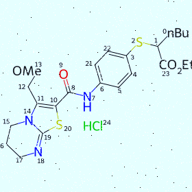 CCCCC(Sc1ccc(NC(=O)C2=C(COC)N3CCCN=C3S2)cc1)C(=O)OCC.Cl